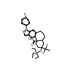 CC[Si](CC)(CC)OC1(C(F)(F)F)CCC2(C(=O)O)c3cc4cnn(-c5ccc(F)cc5)c4cc3CCCC2C1